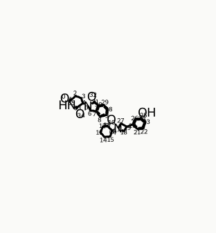 O=C1CCC(N2Cc3cc(O[C@H]4CCCC[C@@H]4N4CC(c5cccc(O)c5)C4)ccc3C2=O)C(=O)N1